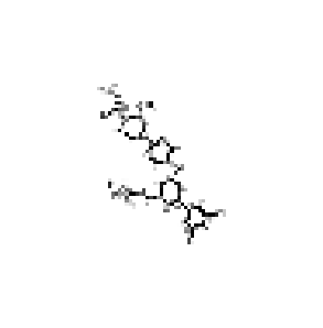 CC1CN(c2ncc(Oc3cc(COS(C)(=O)=O)cc(-c4cc(Cl)cc(Cl)c4)n3)cn2)CCN1C(=O)OC(C)(C)C